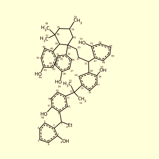 CCC(c1ccccc1O)c1cc(C(C)(C)c2ccc(O)c(C(CCC3(c4ccc(O)cc4)CC(C)CC(C)(C)C3c3ccc(O)cc3)c3ccccc3O)c2)ccc1O